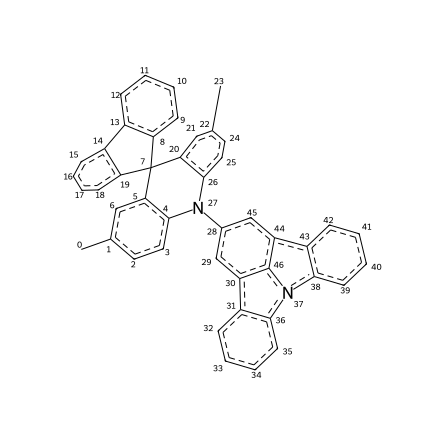 Cc1ccc2c(c1)C1(c3ccccc3-c3ccccc31)c1cc(C)ccc1N2c1cc2c3ccccc3n3c4ccccc4c(c1)c23